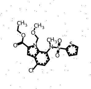 CCOC(=O)c1cc2c(Cl)ccc(N(C)S(=O)(=O)c3cccs3)c2n1COC